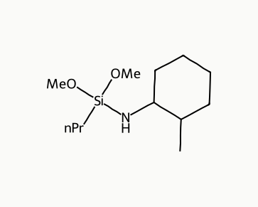 CCC[Si](NC1CCCCC1C)(OC)OC